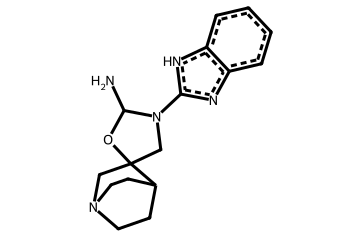 NC1OC2(CN3CCC2CC3)CN1c1nc2ccccc2[nH]1